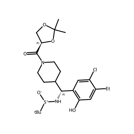 CCc1cc(O)c([C@H](N[S+]([O-])C(C)(C)C)C2CCN(C(=O)[C@H]3COC(C)(C)O3)CC2)cc1Cl